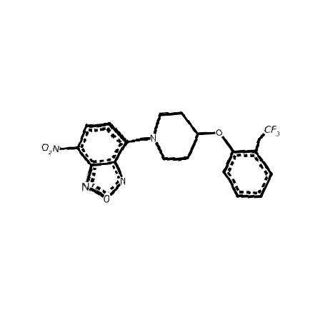 O=[N+]([O-])c1ccc(N2CCC(Oc3ccccc3C(F)(F)F)CC2)c2nonc12